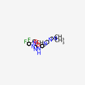 COc1cc(N2CCC(N3CC[C@@H](N(C)C)C3)CC2)ccc1Nc1cc(N2OCC[C@@H]2c2cccc(F)c2F)ncn1